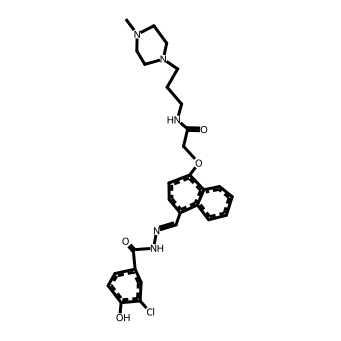 CN1CCN(CCCNC(=O)COc2ccc(C=NNC(=O)c3ccc(O)c(Cl)c3)c3ccccc23)CC1